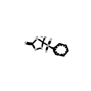 NC1(S(=O)(=O)c2ccccc2)NC(=S)SS1